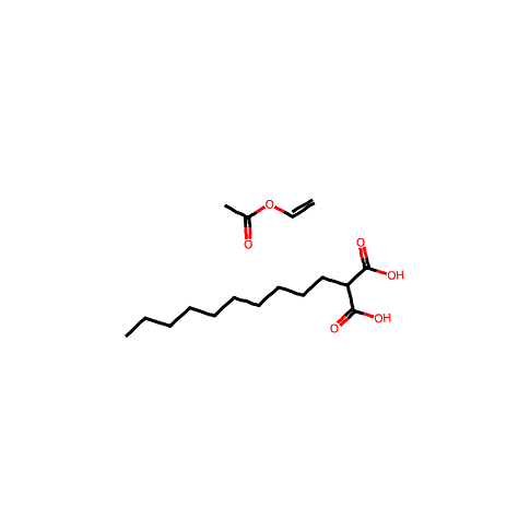 C=COC(C)=O.CCCCCCCCCCC(C(=O)O)C(=O)O